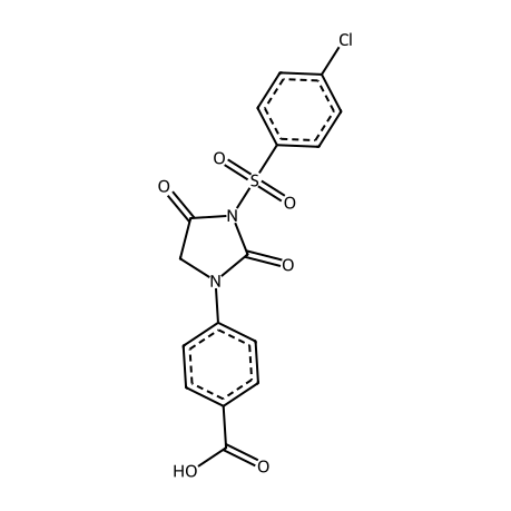 O=C(O)c1ccc(N2CC(=O)N(S(=O)(=O)c3ccc(Cl)cc3)C2=O)cc1